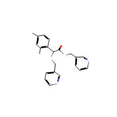 Cc1ccc(C(NCc2cccnc2)C(=O)NCc2cccnc2)c(C)c1